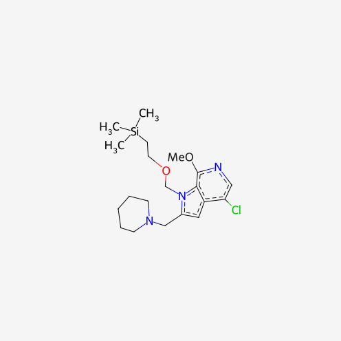 COc1ncc(Cl)c2cc(CN3CCCCC3)n(COCC[Si](C)(C)C)c12